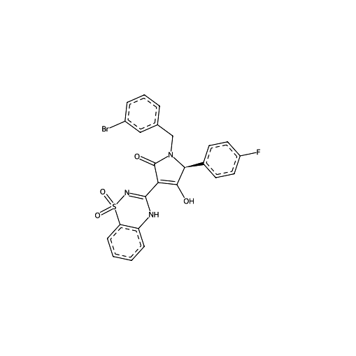 O=C1C(C2=NS(=O)(=O)c3ccccc3N2)=C(O)[C@H](c2ccc(F)cc2)N1Cc1cccc(Br)c1